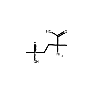 CC(N)(CCP(C)(=O)O)C(=O)O